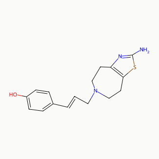 Nc1nc2c(s1)CCN(CC=Cc1ccc(O)cc1)CC2